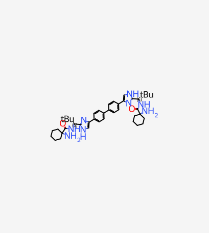 CC(C)(C)[C@H](NC(=O)C1(N)CCCCC1)c1nc(-c2ccc(-c3ccc(-c4c[nH]c([C@@H](NC(=O)C5(N)CCCCC5)C(C)(C)C)n4)cc3)cc2)c[nH]1